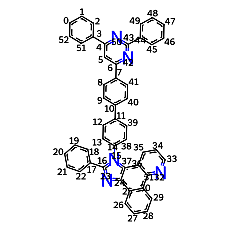 c1ccc(-c2cc(-c3ccc(-c4ccc(-n5c(-c6ccccc6)nc6c7ccccc7c7ncccc7c65)cc4)cc3)nc(-c3ccccc3)n2)cc1